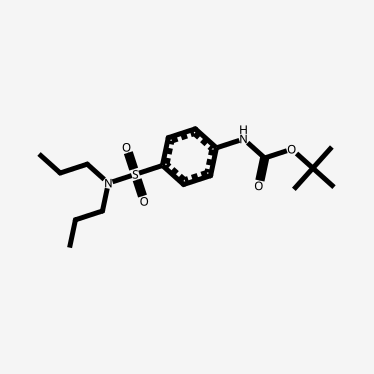 CCCN(CCC)S(=O)(=O)c1ccc(NC(=O)OC(C)(C)C)cc1